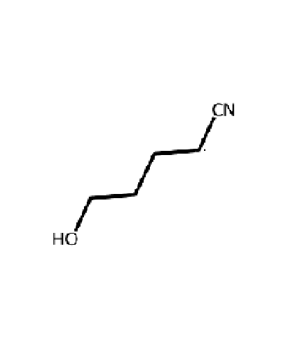 N#C[CH]CCCO